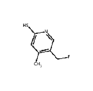 Cc1cc(S)ncc1CF